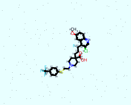 COc1ccc2ncc(Cl)c([C@@H](F)CCC3(C(=O)O)CCN(CCSc4ccc(C(F)(F)F)cc4)CC3)c2c1